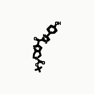 CC(C)(C)OC(=O)N1CCc2sc(C(=O)c3nc(-c4ccc(O)cc4)cs3)cc2C1